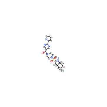 O=C(c1cnc(-c2ccccn2)nc1)N1CCN(S(=O)(=O)c2cc3cc(Cl)ccc3[nH]2)CC1